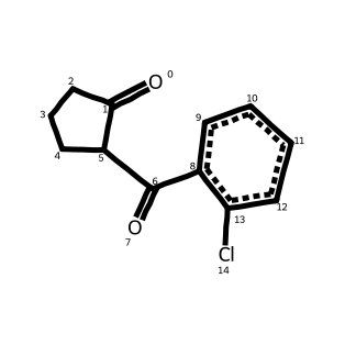 O=C1CCCC1C(=O)c1ccccc1Cl